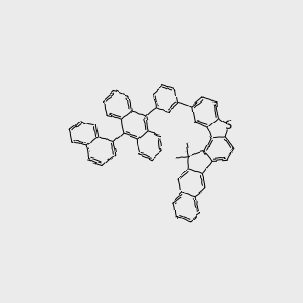 CC1(C)c2cc3ccccc3cc2-c2ccc3sc4ccc(-c5cccc(-c6c7ccccc7c(-c7cccc8ccccc78)c7ccccc67)c5)cc4c3c21